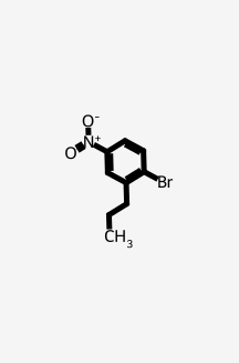 CCCc1cc([N+](=O)[O-])ccc1Br